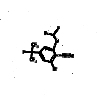 CC(=O)Nc1c(Br)cc(C(F)(C(F)(F)F)C(F)(F)F)cc1OC(F)F